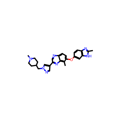 Cc1nc2ccc(Oc3ccc4ncc(-c5cnn(CC6CCN(C)CC6)c5)nc4c3C)cc2[nH]1